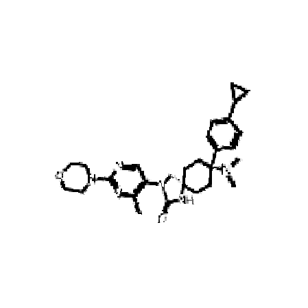 Cc1nc(N2CCOCC2)ncc1N1C[C@]2(CC[C@](c3ccc(C4CC4)cc3)(N(C)C)CC2)NC1=O